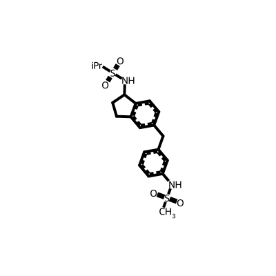 CC(C)S(=O)(=O)NC1CCc2cc(Cc3cccc(NS(C)(=O)=O)c3)ccc21